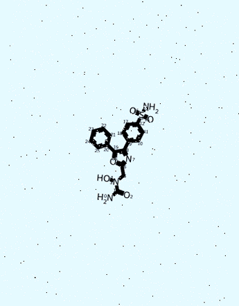 NC(=O)N(O)Cc1nc(-c2ccc(S(N)(=O)=O)cc2)c(-c2ccccc2)o1